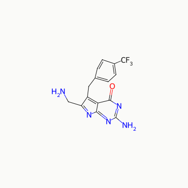 NCC1=NC2=NC(N)=NC(=O)C2=C1Cc1ccc(C(F)(F)F)cc1